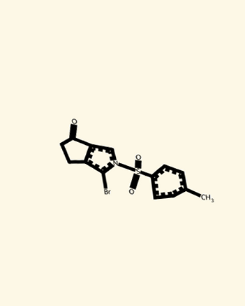 Cc1ccc(S(=O)(=O)n2cc3c(c2Br)CCC3=O)cc1